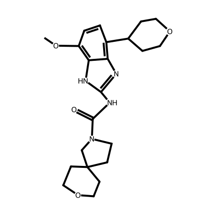 COc1ccc(C2CCOCC2)c2nc(NC(=O)N3CCC4(CCOCC4)C3)[nH]c12